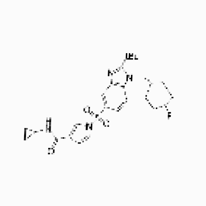 CC(C)(C)c1nc2cc(S(=O)(=O)n3ccc(C(=O)NC4CC4)c3)ccc2n1CC1CCC(F)CC1